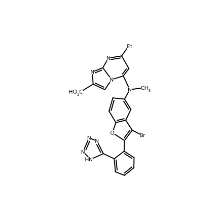 CCc1cc(N(C)c2ccc3oc(-c4ccccc4-c4nnn[nH]4)c(Br)c3c2)n2cc(C(=O)O)nc2n1